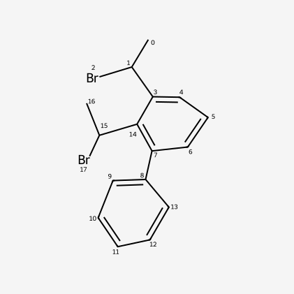 CC(Br)c1cccc(-c2ccccc2)c1C(C)Br